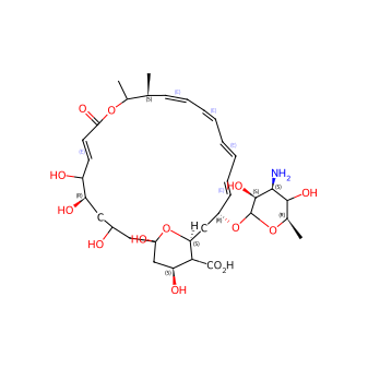 CC1OC(=O)/C=C/C(O)[C@H](O)CC(O)CC2(O)C[C@H](O)C(C(=O)O)[C@H](C[C@@H](OC3O[C@H](C)C(O)[C@H](N)[C@@H]3O)/C=C/C=C/C=C/C=C/[C@@H]1C)O2